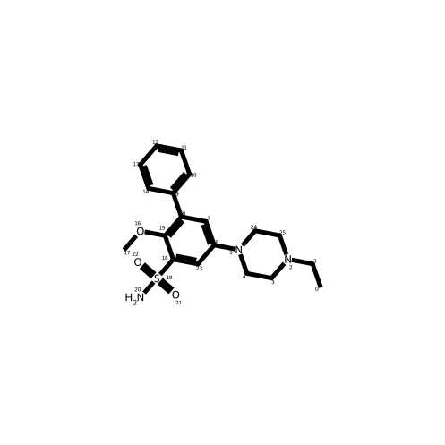 CCN1CCN(c2cc(-c3ccccc3)c(OC)c(S(N)(=O)=O)c2)CC1